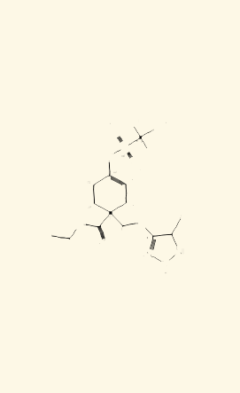 CCOC(=O)C1(COC2=NSNC2C)CC=C(OS(=O)(=O)C(F)(F)F)CC1